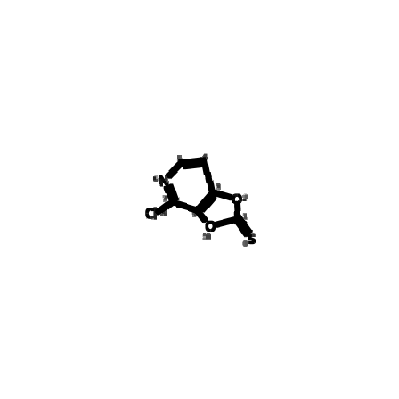 S=c1oc2ccnc(Cl)c2o1